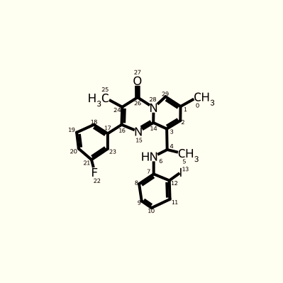 Cc1cc(C(C)Nc2ccccc2I)c2nc(-c3cccc(F)c3)c(C)c(=O)n2c1